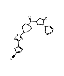 N#Cc1ccc(-c2noc(C3CCN(C(=O)C4CC(=O)N(c5ccccc5)C4)CC3)n2)s1